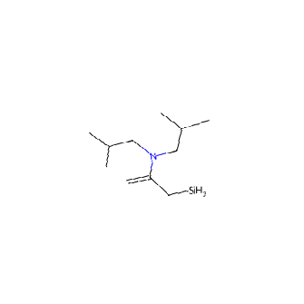 C=C(C[SiH3])N(CC(C)C)CC(C)C